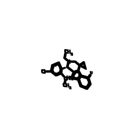 CCN1CC2(CC2)c2c([nH]c3cccc(F)c23)[C@@H]1c1ccc(Cl)cc1OC